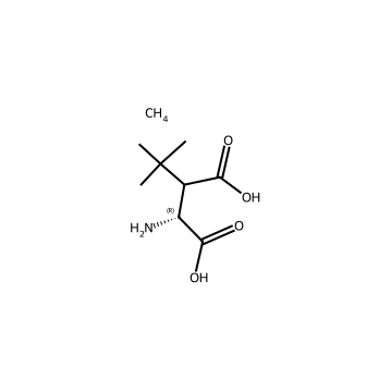 C.CC(C)(C)C(C(=O)O)[C@@H](N)C(=O)O